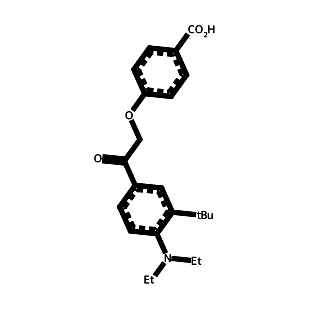 CCN(CC)c1ccc(C(=O)COc2ccc(C(=O)O)cc2)cc1C(C)(C)C